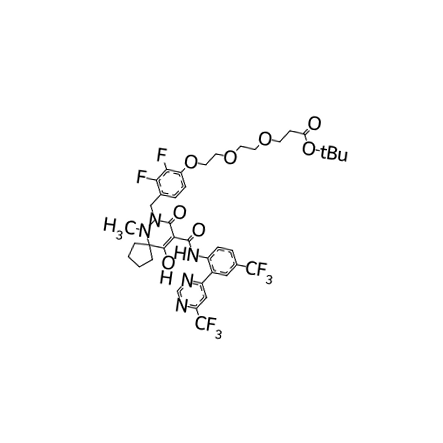 CN1N(Cc2ccc(OCCOCCOCCC(=O)OC(C)(C)C)c(F)c2F)C(=O)C(C(=O)Nc2ccc(C(F)(F)F)cc2-c2cc(C(F)(F)F)ncn2)=C(O)C12CCCC2